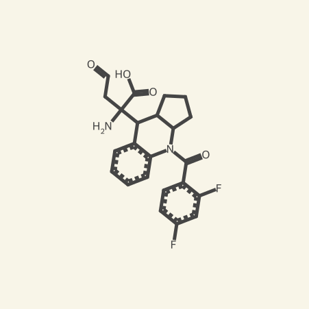 NC(CC=O)(C(=O)O)C1c2ccccc2N(C(=O)c2ccc(F)cc2F)C2CCCC21